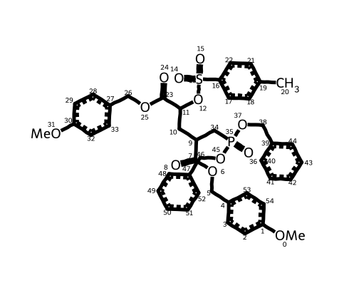 COc1ccc(COC(=O)C(CC(OS(=O)(=O)c2ccc(C)cc2)C(=O)OCc2ccc(OC)cc2)CP(=O)(OCc2ccccc2)OCc2ccccc2)cc1